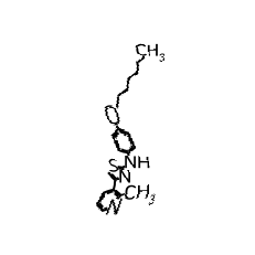 CCCCCCCCOc1ccc(Nc2nc(-c3cccnc3C)cs2)cc1